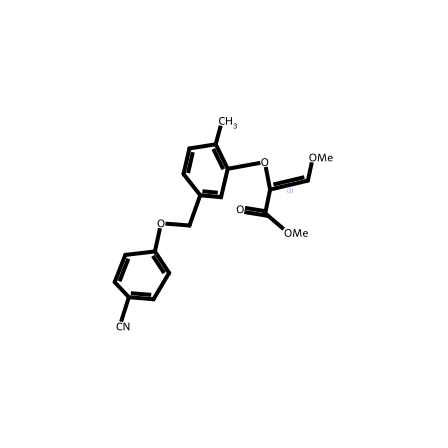 CO/C=C(\Oc1cc(COc2ccc(C#N)cc2)ccc1C)C(=O)OC